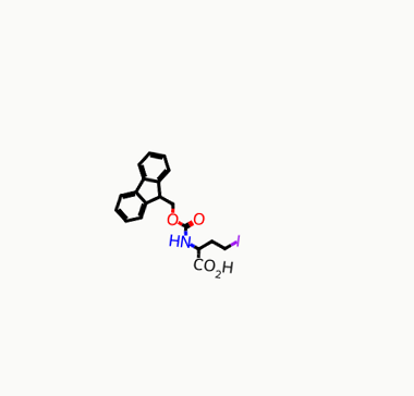 O=C(NC(CCI)C(=O)O)OCC1c2ccccc2-c2ccccc21